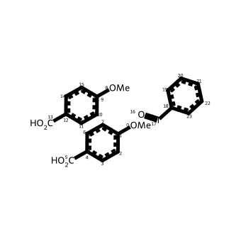 COc1ccc(C(=O)O)cc1.COc1ccc(C(=O)O)cc1.O=Ic1ccccc1